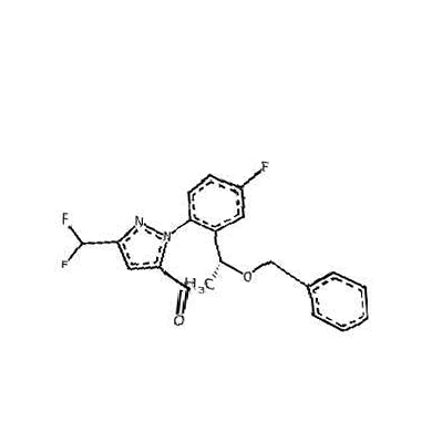 C[C@@H](OCc1ccccc1)c1cc(F)ccc1-n1nc(C(F)F)cc1C=O